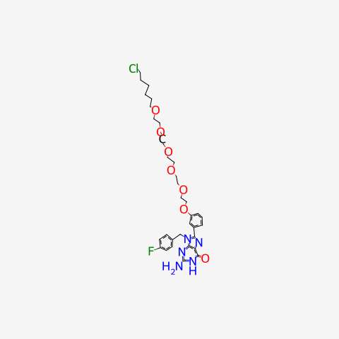 Nc1nc2c(nc(-c3cccc(OCCOCCOCCOCCOCCOCCCCCCCl)c3)n2Cc2ccc(F)cc2)c(=O)[nH]1